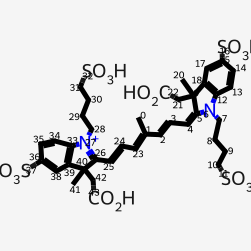 CC(/C=C/C=C1/N(CCCCS(=O)(=O)O)c2ccc(S(=O)(=O)O)cc2C1(C)CC(=O)O)=C\C=C\C1=[N+](CCCCS(=O)(=O)O)c2ccc(S(=O)(=O)O)cc2C1(C)CC(=O)O